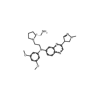 COc1cc(OC)cc(N(CCN2CCC[C@@H]2CN)c2ccc3ncc(C4C=NN(C)C4)nc3c2)c1